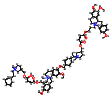 COc1ccc(CC2c3cc(OC)c(OC)cc3CC[N+]2(C)CCCOC(=O)/C=C\C(=O)OCC2CC[N+](C)(C(C)c3ccc(COc4cc5c(cc4OC)C(Cc4ccc(OC)cc4)[N+](C)(CCCOC(=O)/C=C\C(=O)OCC4CC[N+](C)(CCc6ccccc6)C4)CC5)cc3)C2)cc1